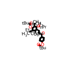 CCCOc1c(C=CC(=O)c2ccc(OC(=O)C(C)(C)C)cc2)c(OC)c(C(C)(C)CC)c(OC(=O)C(C)(C)C)c1C(C)(C)CC